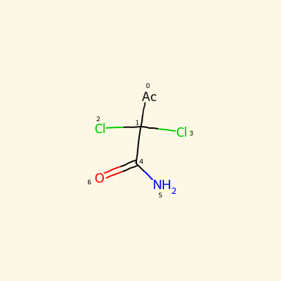 CC(=O)C(Cl)(Cl)C(N)=O